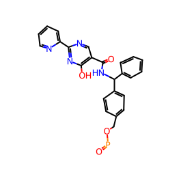 O=POCc1ccc(C(NC(=O)c2cnc(-c3ccccn3)nc2O)c2ccccc2)cc1